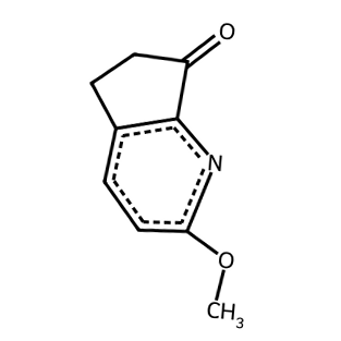 COc1ccc2c(n1)C(=O)CC2